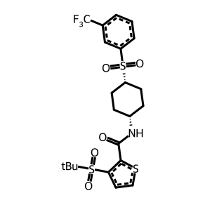 CC(C)(C)S(=O)(=O)c1ccsc1C(=O)N[C@H]1CC[C@@H](S(=O)(=O)c2cccc(C(F)(F)F)c2)CC1